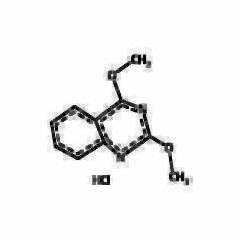 COc1nc(OC)c2ccccc2n1.Cl